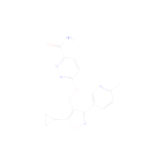 Cc1ccc(-c2noc(C3CC3)c2COc2ccc(C(N)=O)nn2)cn1